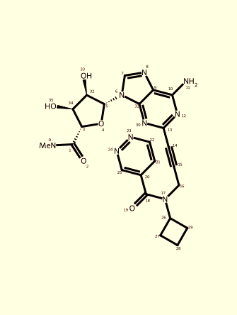 CNC(=O)[C@H]1O[C@@H](n2cnc3c(N)nc(C#CCN(C(=O)c4ccnnc4)C4CCC4)nc32)[C@H](O)[C@@H]1O